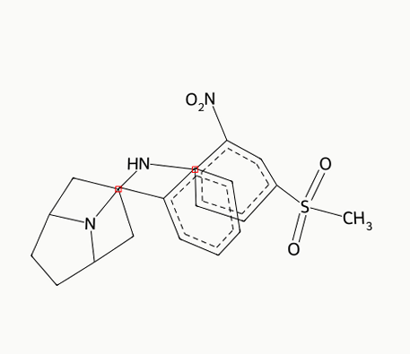 CS(=O)(=O)c1ccc(NC2CC3CCC(C2)N3Cc2ccccc2)c([N+](=O)[O-])c1